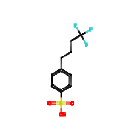 O=S(=O)(O)c1ccc(CCCC(F)(F)F)cc1